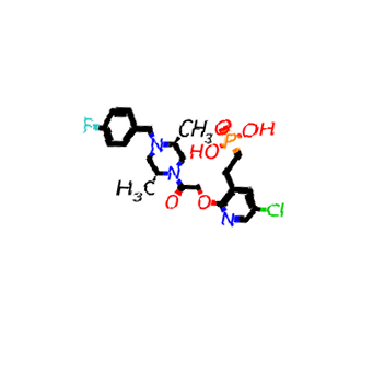 C[C@@H]1CN(Cc2ccc(F)cc2)[C@@H](C)CN1C(=O)COc1ncc(Cl)cc1CCP(=O)(O)O